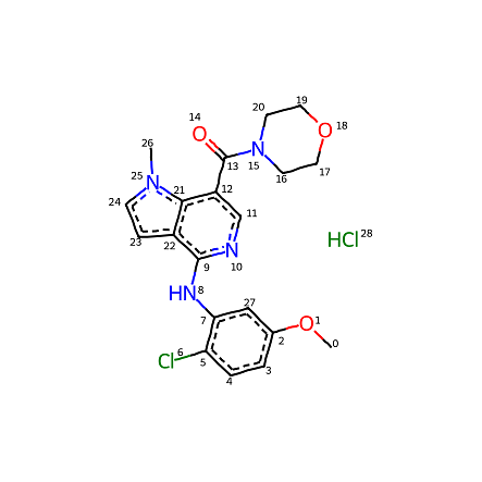 COc1ccc(Cl)c(Nc2ncc(C(=O)N3CCOCC3)c3c2ccn3C)c1.Cl